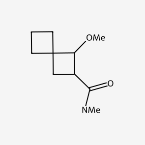 CNC(=O)C1CC2(CCC2)C1OC